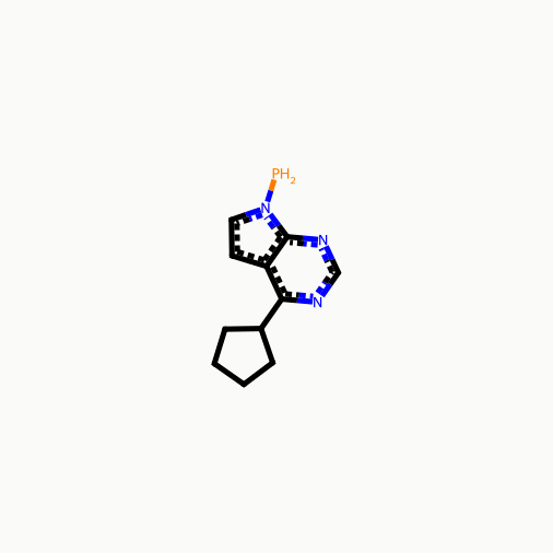 Pn1ccc2c(C3CCCC3)ncnc21